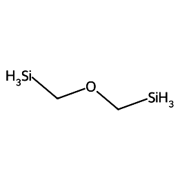 [SiH3]COC[SiH3]